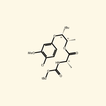 COc1cc(O[C@@H]([C@H](C)OC(=O)[C@H](C)NC(=O)OC(C)(C)C)C(C)(C)C)ccc1Cl